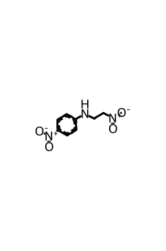 O=[N+]([O-])CCNc1ccc([N+](=O)[O-])cc1